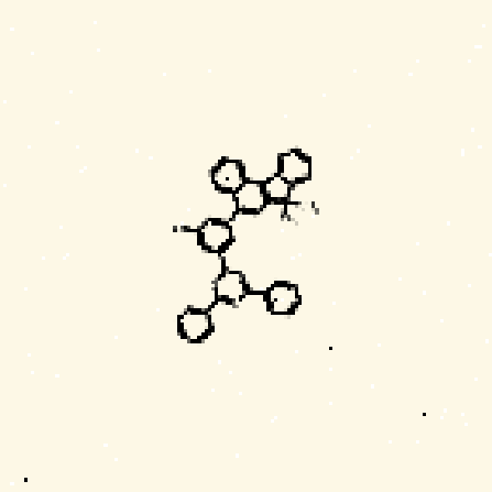 CC1(C)c2ccccc2-c2c1cc(-c1cc(Cl)cc(-c3nc(-c4ccccc4)nc(-c4ccccc4)n3)c1)c1ccccc21